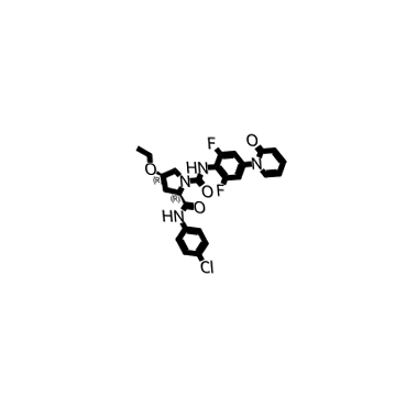 CCO[C@@H]1C[C@H](C(=O)Nc2ccc(Cl)cc2)N(C(=O)Nc2c(F)cc(-n3ccccc3=O)cc2F)C1